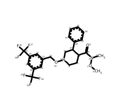 CON(C)C(=O)C1CCN(OCc2cc(C(F)(F)F)cc(C(F)(F)F)c2)CC1c1ccccc1